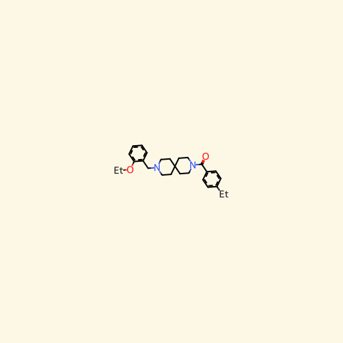 CCOc1ccccc1CN1CCC2(CC1)CCN(C(=O)c1ccc(CC)cc1)CC2